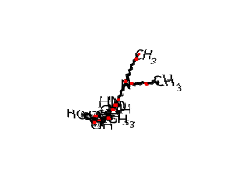 CCCCCCCCCCCCN(CCCCCCCCCCCC)CCCCCCNC(=O)CNC(=O)CC[C@@H](C)[C@H]1CCC2[C@H]3C(C[C@H](O)[C@@]21C)[C@@]1(C)CC[C@@H](O)CC1C[C@H]3O